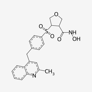 Cc1cc(Cc2ccc(S(=O)(=O)C3COCC3C(=O)NO)cc2)c2ccccc2n1